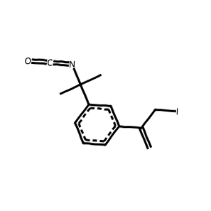 C=C(CI)c1cccc(C(C)(C)N=C=O)c1